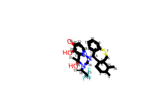 CC1C=CC2=C(CSc3ccccc3[C@H]2N2CN([C@H](C)C(F)(F)F)C(C)(O)c3c(O)c(=O)ccn32)C1C